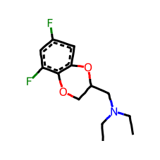 CCN(CC)CC1COc2c(F)cc(F)cc2O1